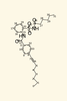 CCCCCCC#Cc1ccc(C(=O)Nc2ccccc2S(=O)(=O)NC(=O)CCCCC)cc1